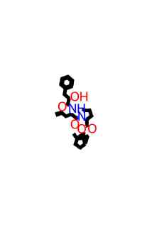 C=CCC(NC(=O)C(O)Cc1ccccc1)C(=O)N1CCCC1C(=O)OC1CC2CCC1(C)C2(C)C